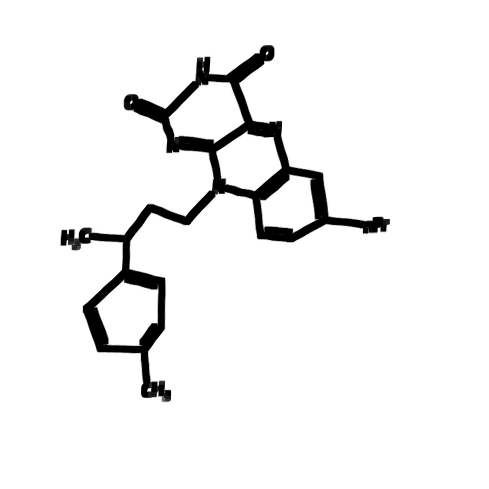 CCCc1ccc2c(c1)nc1c(=O)[nH]c(=O)nc-1n2CCC(C)c1ccc(C)cc1